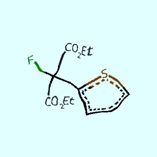 CCOC(=O)C(F)(C(=O)OCC)c1cccs1